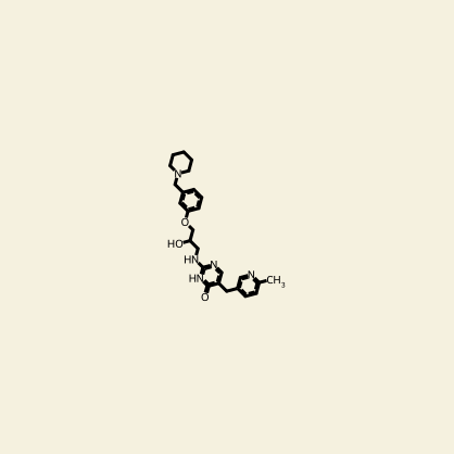 Cc1ccc(Cc2cnc(NCC(O)COc3cccc(CN4CCCCC4)c3)[nH]c2=O)cn1